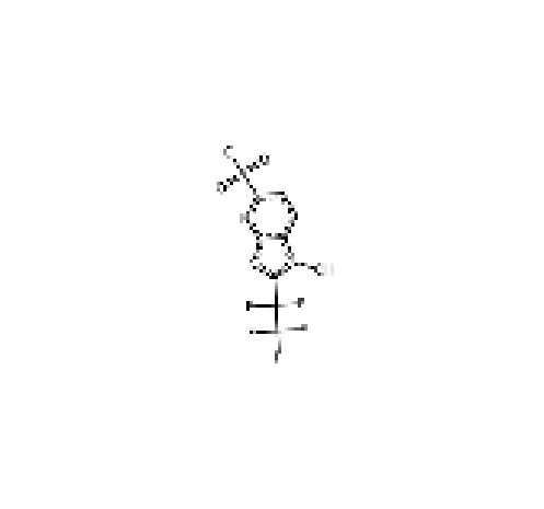 CS(=O)(=O)c1ccc2c(n1)nc(C(F)(F)C(F)(F)F)n2O